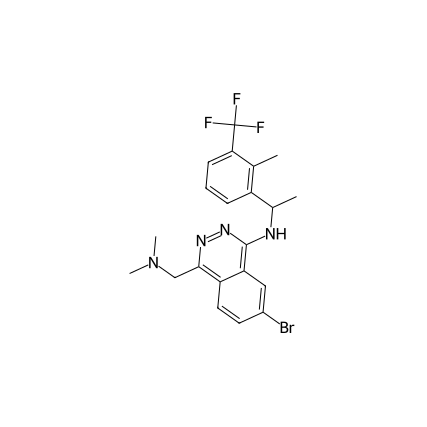 Cc1c(C(C)Nc2nnc(CN(C)C)c3ccc(Br)cc23)cccc1C(F)(F)F